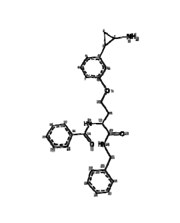 NC1CC1c1cccc(OCCC(NC(=O)c2ccccc2)C(=O)NCc2ccccc2)c1